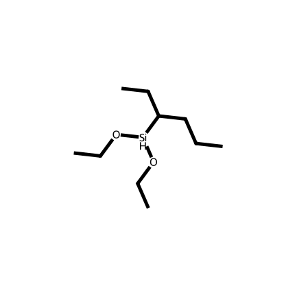 CCCC(CC)[SiH](OCC)OCC